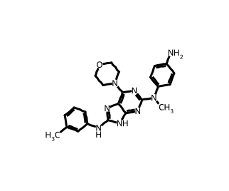 Cc1cccc(Nc2nc3c(N4CCOCC4)nc(N(C)c4ccc(N)cc4)nc3[nH]2)c1